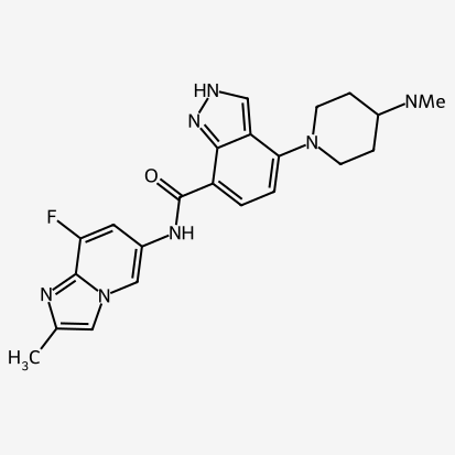 CNC1CCN(c2ccc(C(=O)Nc3cc(F)c4nc(C)cn4c3)c3n[nH]cc23)CC1